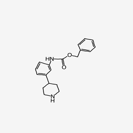 O=C(Nc1cccc(C2CCNCC2)c1)OCc1ccccc1